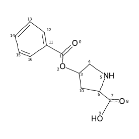 O=C(OC1CNC(C(=O)O)C1)c1ccccc1